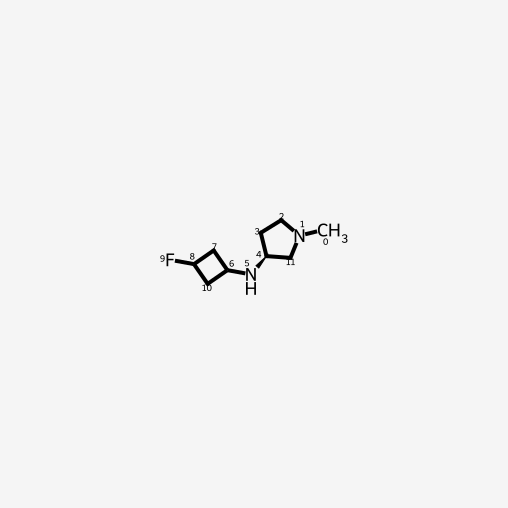 CN1CC[C@H](NC2CC(F)C2)C1